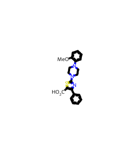 COc1ccccc1N1CCN(c2nc(-c3ccccc3)c(C(=O)O)s2)CC1